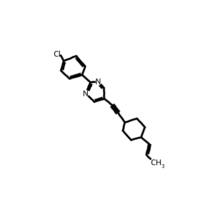 CC=CC1CCC(C#Cc2cnc(-c3ccc(Cl)cc3)nc2)CC1